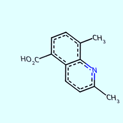 Cc1ccc2c(C(=O)O)ccc(C)c2n1